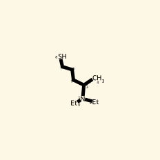 CCN(CC)C(C)CCCS